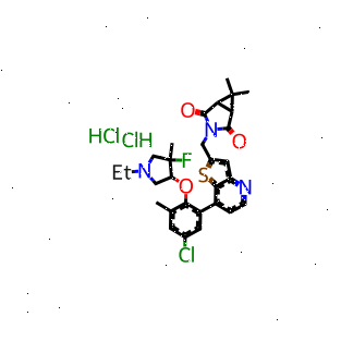 CCN1CC(Oc2c(C)cc(Cl)cc2-c2ccnc3cc(CN4C(=O)C5C(C4=O)C5(C)C)sc23)C(C)(F)C1.Cl.Cl